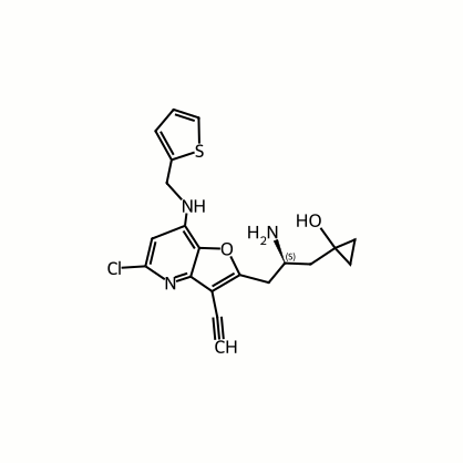 C#Cc1c(C[C@@H](N)CC2(O)CC2)oc2c(NCc3cccs3)cc(Cl)nc12